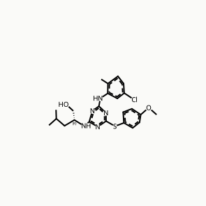 COc1ccc(Sc2nc(Nc3cc(Cl)ccc3C)nc(N[C@@H](CO)CC(C)C)n2)cc1